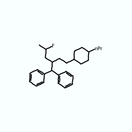 CCCC1CCC(CCC(CC(C)F)C(c2ccccc2)c2ccccc2)CC1